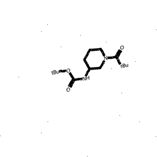 CC(C)(C)OC(=O)NC1CCCN(C(=O)C(C)(C)C)C1